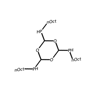 CCCCCCCCPC1OC(PCCCCCCCC)OC(PCCCCCCCC)O1